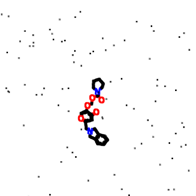 O=C(OCOc1coc(CN2Cc3ccccc3C2)cc1=O)N1CCCCC1